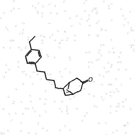 CCc1ccc(CCCCCC2CC3CC(=O)CC2S3)cc1